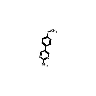 COc1ccc(-c2cnc(N)nc2)cc1